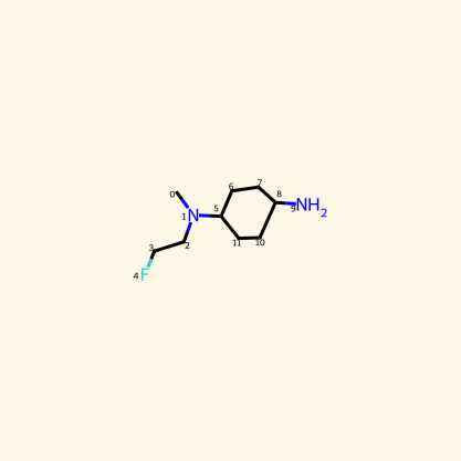 CN(CCF)C1CCC(N)CC1